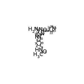 CC(=O)NCc1cccc(Cn2ncc3c(N)nc(OCc4ccncc4)nc32)c1